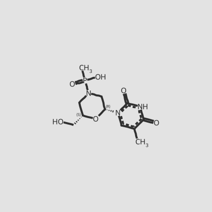 Cc1cn([C@H]2CN(P(C)(=O)O)C[C@@H](CO)O2)c(=O)[nH]c1=O